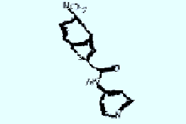 O=C(Nc1ccncc1)c1cc2cc([N+](=O)[O-])ccc2s1